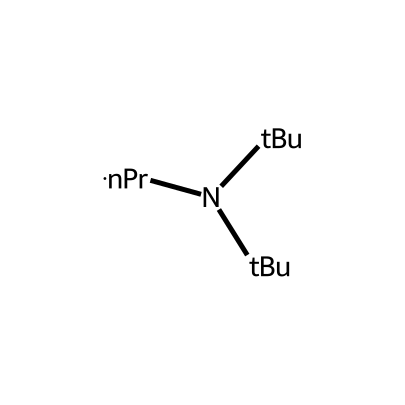 CC[CH]N(C(C)(C)C)C(C)(C)C